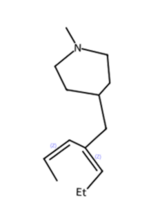 C/C=C\C(=C/CC)CC1CCN(C)CC1